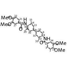 COc1ccc(C(=O)Nc2ccc(-c3cc(C)c(NC(=O)c4ccc(OC)c(OC)c4)c(C)c3)cc2C)cc1OC